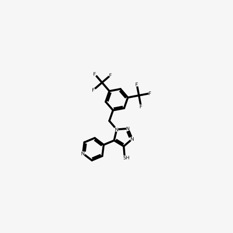 FC(F)(F)c1cc(Cn2nnc(S)c2-c2ccncc2)cc(C(F)(F)F)c1